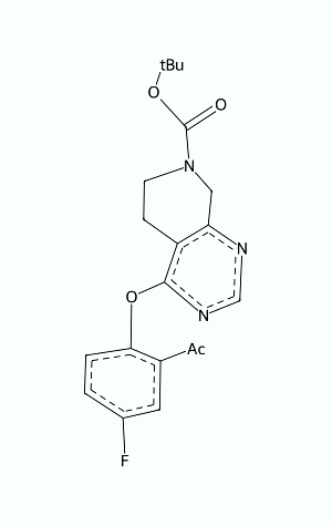 CC(=O)c1cc(F)ccc1Oc1ncnc2c1CCN(C(=O)OC(C)(C)C)C2